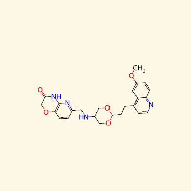 COc1ccc2nccc(CCC3OCC(NCc4ccc5c(n4)NC(=O)CO5)CO3)c2c1